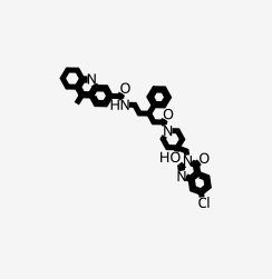 Cc1c2c(nc3cc(C(=O)NCCC(CC(=O)N4CCC(O)(Cn5cnc6cc(Cl)ccc6c5=O)CC4)c4ccccc4)ccc13)CCCC2